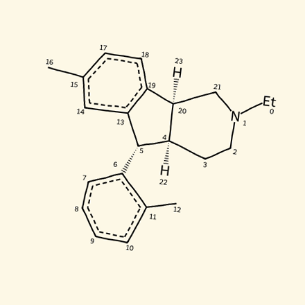 CCN1CC[C@H]2[C@H](c3ccccc3C)c3cc(C)ccc3[C@H]2C1